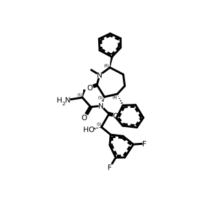 C[C@H](N)C(=O)N(C(=O)[C@@H](O)c1cc(F)cc(F)c1)[C@@H]1C(=O)N(C)[C@@H](c2ccccc2)CC[C@@H]1c1ccccc1